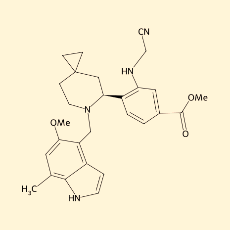 COC(=O)c1ccc([C@@H]2CC3(CCN2Cc2c(OC)cc(C)c4[nH]ccc24)CC3)c(NCC#N)c1